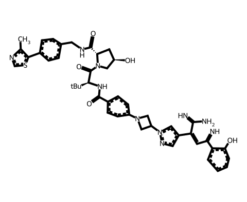 Cc1ncsc1-c1ccc(CNC(=O)[C@@H]2C[C@@H](O)CN2C(=O)[C@@H](NC(=O)c2ccc(N3CC(n4cc(/C(=C/C(=N)c5ccccc5O)C(=N)N)cn4)C3)cc2)C(C)(C)C)cc1